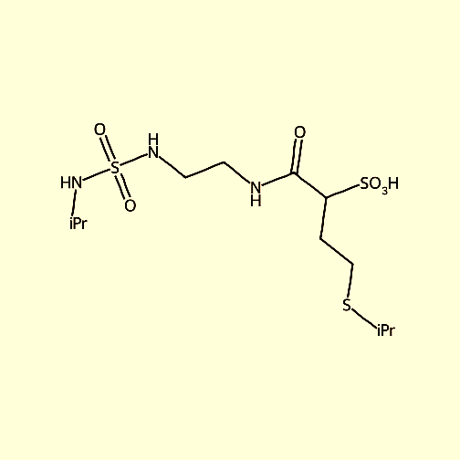 CC(C)NS(=O)(=O)NCCNC(=O)C(CCSC(C)C)S(=O)(=O)O